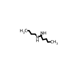 CCCCNC(=N)CCCC